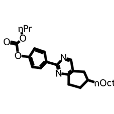 CCCCCCCCC1CCc2nc(-c3ccc(OC(=O)OCCC)cc3)ncc2C1